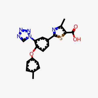 Cc1ccc(Oc2ccc(-c3nc(C)c(C(=O)O)s3)cc2-n2cnnn2)cc1